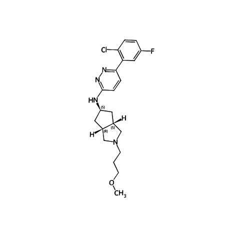 COCCCN1C[C@H]2C[C@H](Nc3ccc(-c4cc(F)ccc4Cl)nn3)C[C@H]2C1